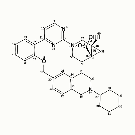 O=C(O)[C@@]12CCN(c3nccc(-c4ccccc4OCc4ccc5c(c4)CCN(C4CCCCC4)C5)n3)C[C@@H]1C2